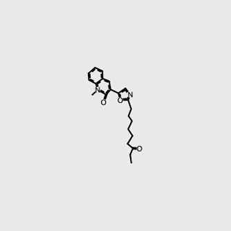 CCC(=O)CCCCCCc1ncc(-c2cc3ccccc3n(C)c2=O)o1